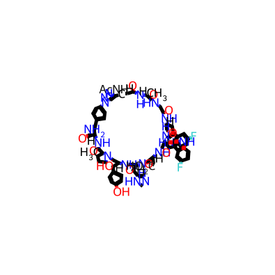 CC(=O)N[C@H]1Cc2cn(nn2)-c2ccc(cc2)C[C@@H](C(N)=O)NC(=O)[C@]2(C)CCCN2C(O)[C@H](Cc2ccc(O)cc2)NC(=O)[C@H](Cc2cnc[nH]2)NC(=O)[C@H](CC(=O)O)NC(=O)[C@H](Cc2c[nH]c3ccc(F)cc23)NC(=O)[C@H](Cc2c[nH]c3ccc(F)cc23)NC(=O)CNC(=O)[C@H](C)NC1=O